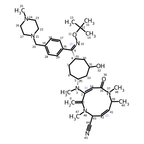 C=C1/C(N(C)[C@@H]2CC[C@H](/C(=N/OC(C)(C)C)c3ccc(CN4CCN(C)CC4)cc3)CC(O)C2)=C\C(=O)N(C)C(C)/C=C\C(C#N)N1C